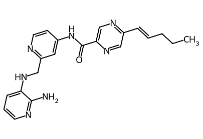 CCC/C=C/c1cnc(C(=O)Nc2ccnc(CNc3cccnc3N)c2)cn1